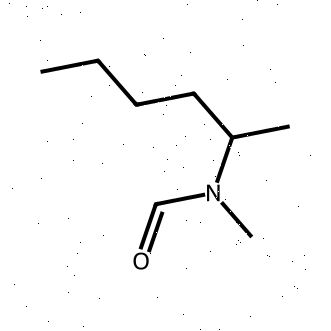 CCCCC(C)N(C)C=O